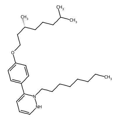 CCCCCCCCN1NC=CC=C1c1ccc(OCC[C@H](C)CCCC(C)C)cc1